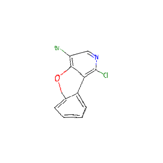 Clc1ncc(Br)c2oc3ccccc3c12